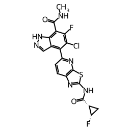 CNC(=O)c1c(F)c(Cl)c(-c2ccc3nc(NC(=O)[C@@H]4C[C@@H]4F)sc3n2)c2cn[nH]c12